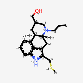 CCCN1CC(CO)C[C@@H]2c3cccc4[nH]c(CSC)c(c34)C[C@H]21